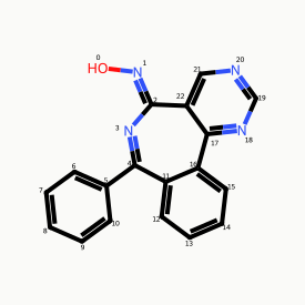 ON=c1nc(-c2ccccc2)c2ccccc2c2ncncc12